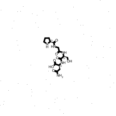 NC(=O)C[C@H](NC(=O)[C@H](CO)NC(=O)CNC(=O)[C@@H]1CCCN1)C(=O)O